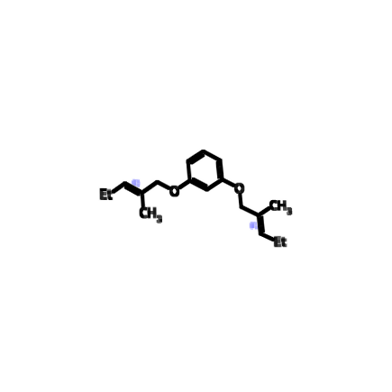 CC/C=C(\C)COc1cccc(OC/C(C)=C/CC)c1